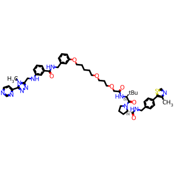 Cc1ncsc1-c1ccc(CNC(=O)[C@@H]2CCCN2C(=O)[C@@H](NC(=O)COCCCOCCCCCOc2cccc(CNC(=O)c3cccc(NCc4nnc(-c5ccncn5)n4C)c3)c2)C(C)(C)C)cc1